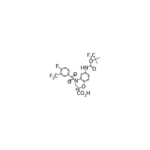 CC(C)(OC(=O)Nc1ccc2c(c1)N(S(=O)(=O)c1ccc(F)c(C(F)(F)F)c1)C[C@H](C(=O)O)O2)C(F)(F)F